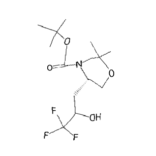 CC(C)(C)OC(=O)N1[C@@H](CC(O)C(F)(F)F)COC1(C)C